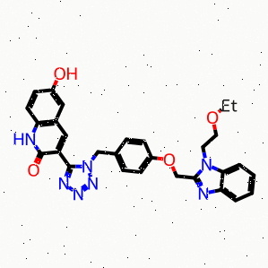 CCOCCn1c(COc2ccc(Cn3nnnc3-c3cc4cc(O)ccc4[nH]c3=O)cc2)nc2ccccc21